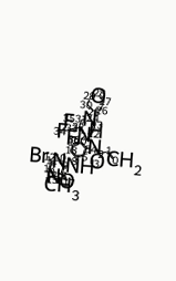 C=CC(=O)Nc1cc(Nc2nc(Br)cn(C)c2=O)ccc1N1CCN(C2CCOCC2)CC1C(F)(F)F